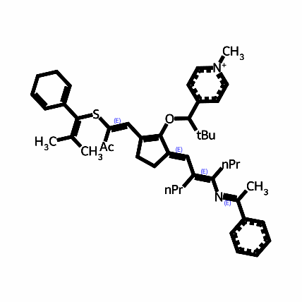 CCCC(/C=C1\CCC(/C=C(/SC(C2=CCCC=C2)=C(C)C)C(C)=O)=C1OC(c1cc[n+](C)cc1)C(C)(C)C)=C(CCC)\N=C(/C)c1ccccc1